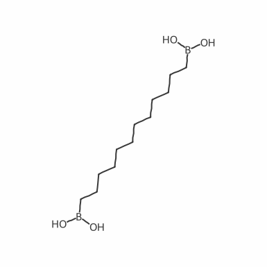 OB(O)CCCCCCCCCCCCB(O)O